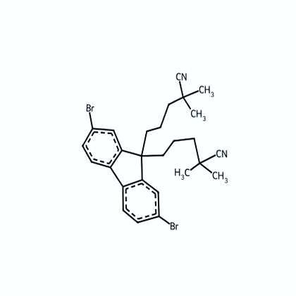 CC(C)(C#N)CCCC1(CCCC(C)(C)C#N)c2cc(Br)ccc2-c2ccc(Br)cc21